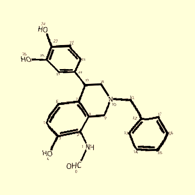 O=CNc1c(O)ccc2c1CN(Cc1ccccc1)CC2c1ccc(O)c(O)c1